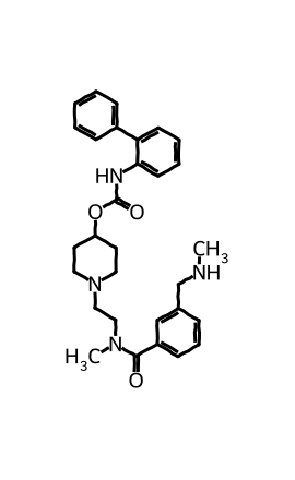 CNCc1cccc(C(=O)N(C)CCN2CCC(OC(=O)Nc3ccccc3-c3ccccc3)CC2)c1